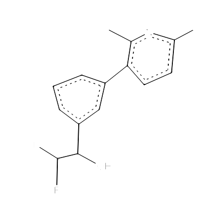 Cc1ccc(-c2cccc(C(O)C(F)F)c2)c(C)n1